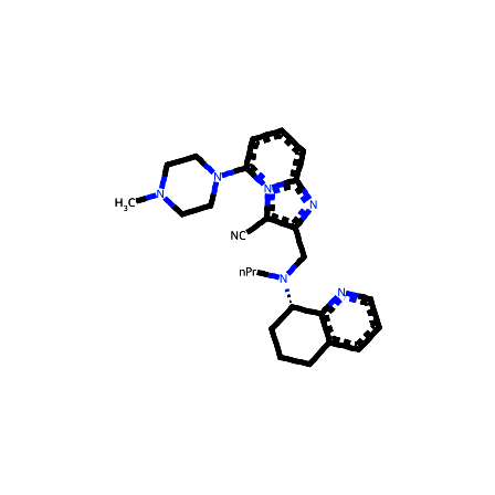 CCCN(Cc1nc2cccc(N3CCN(C)CC3)n2c1C#N)[C@H]1CCCc2cccnc21